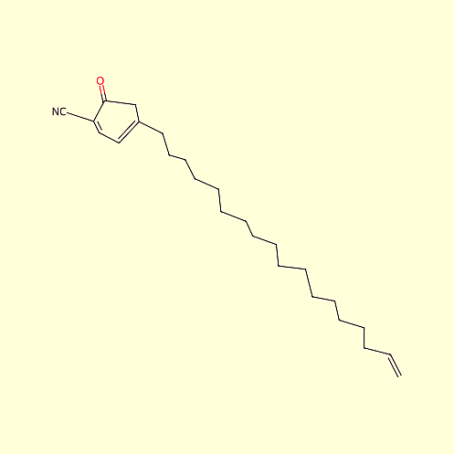 C=CCCCCCCCCCCCCCCCCC1=CC=C(C#N)C(=O)C1